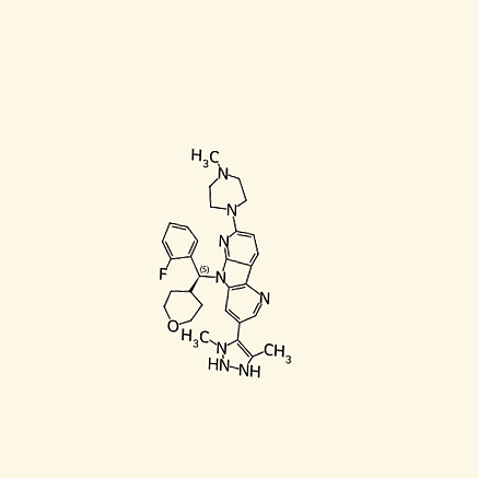 CC1=C(c2cnc3c4ccc(N5CCN(C)CC5)nc4n([C@H](c4ccccc4F)C4CCOCC4)c3c2)N(C)NN1